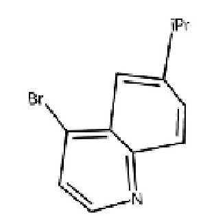 CC(C)c1ccc2nccc(Br)c2c1